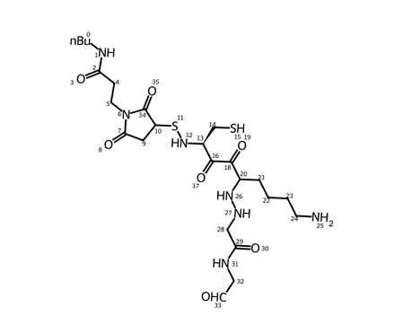 CCCCNC(=O)CCN1C(=O)CC(SN[C@@H](CS)C(=O)C(=O)C(CCCCN)NNCC(=O)NCC=O)C1=O